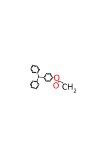 C=CC(=O)Oc1ccc(C(c2ccccc2)c2ccccc2)cc1